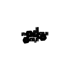 CC(C)c1ccc(C(=O)NC(Cc2ccccc2)C(O)C(=O)O)cc1-c1ccccc1C(=O)O